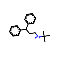 CC(C)(C)NCCC(c1ccccc1)c1ccccc1